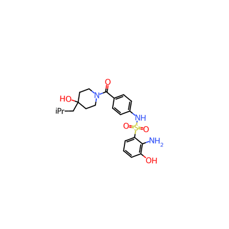 CC(C)CC1(O)CCN(C(=O)c2ccc(NS(=O)(=O)c3cccc(O)c3N)cc2)CC1